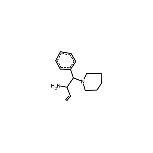 C=CC(N)C(c1ccccc1)N1CCCCC1